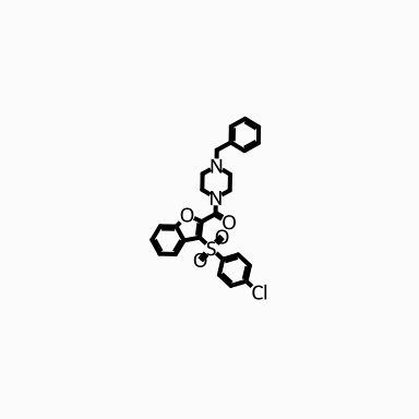 O=C(c1oc2ccccc2c1S(=O)(=O)c1ccc(Cl)cc1)N1CCN(Cc2ccccc2)CC1